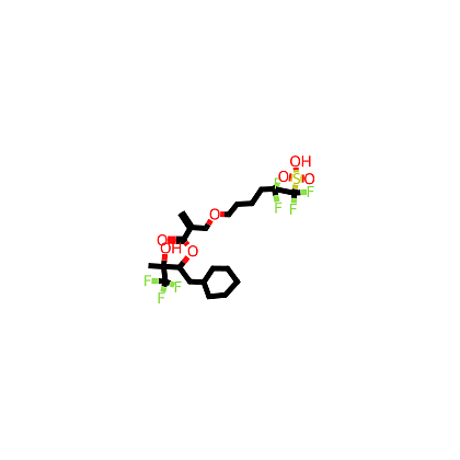 C=C(COCCCCC(F)(F)C(F)(F)S(=O)(=O)O)C(=O)OC(CC1CCCCC1)C(C)(O)C(F)(F)F